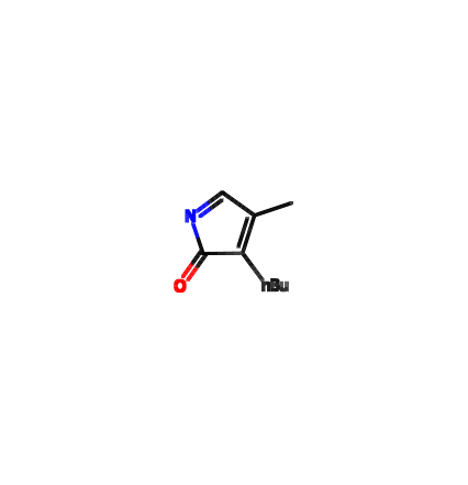 CCCCC1=C(C)C=NC1=O